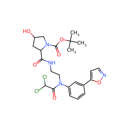 CC(C)(C)OC(=O)N1CC(O)CC1C(=O)NCCN(C(=O)C(Cl)Cl)c1cccc(-c2ccno2)c1